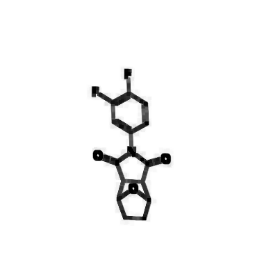 O=C1C2C3CCC(O3)C2C(=O)N1c1ccc(F)c(F)c1